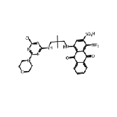 CC(C)(CNc1nc(Cl)nc(N2CCOCC2)n1)CNc1cc(S(=O)(=O)O)c(N)c2c1C(=O)c1ccccc1C2=O